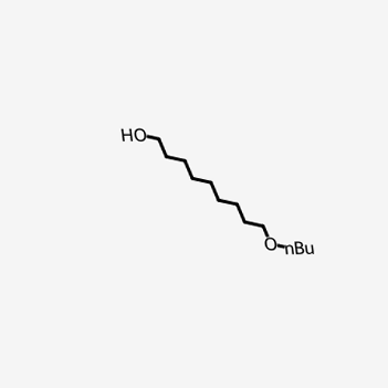 CCCCOCCCCCCCCCO